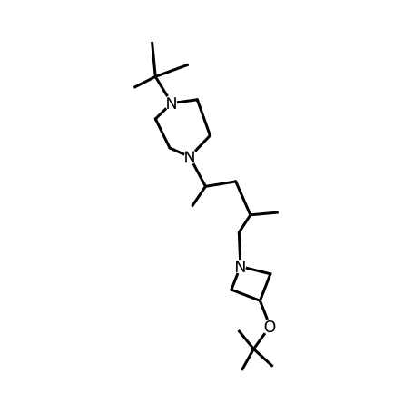 CC(CC(C)N1CCN(C(C)(C)C)CC1)CN1CC(OC(C)(C)C)C1